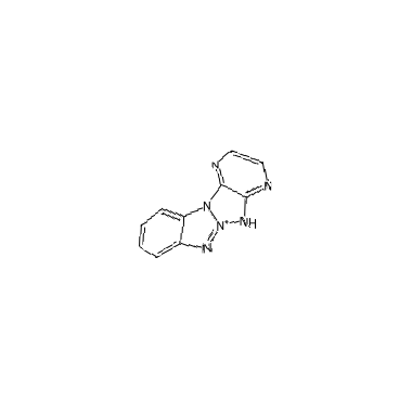 c1ccc2c(c1)n[n+]1[nH]c3nccnc3n21